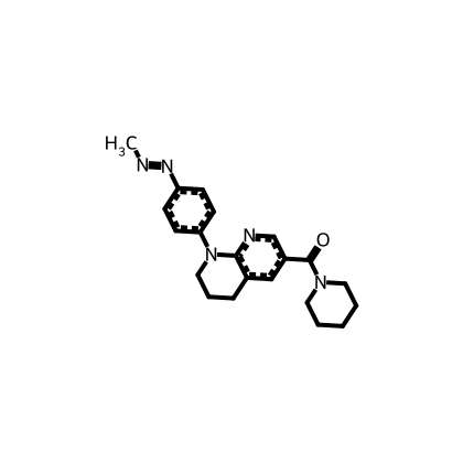 C/N=N/c1ccc(N2CCCc3cc(C(=O)N4CCCCC4)cnc32)cc1